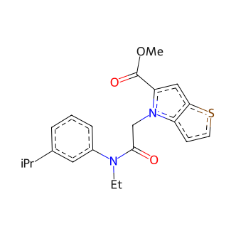 CCN(C(=O)Cn1c(C(=O)OC)cc2sccc21)c1cccc(C(C)C)c1